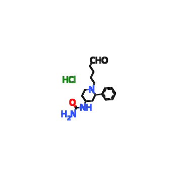 Cl.NC(=O)NC1CCN(CCCCC=O)C(c2ccccc2)C1